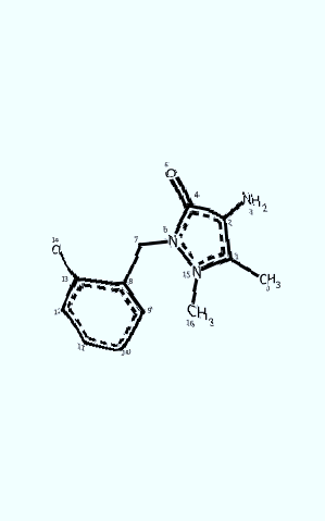 Cc1c(N)c(=O)n(Cc2ccccc2Cl)n1C